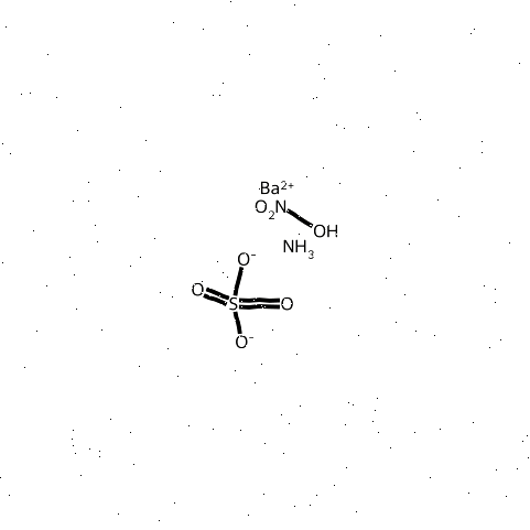 N.O=S(=O)([O-])[O-].O=[N+]([O-])O.[Ba+2]